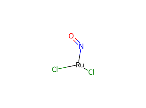 O=[N][Ru]([Cl])[Cl]